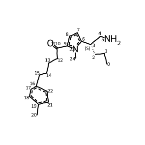 CCC[C@@H](CN)c1ccc(C(=O)CCCCc2ccc(C)cc2)n1C